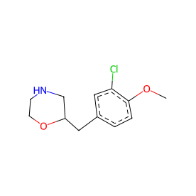 COc1ccc(CC2CNCCO2)cc1Cl